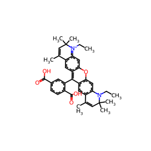 CCN1c2cc3c(cc2C(C)=CC1(C)C)C(c1cc(C(=O)O)ccc1C(=O)O)=c1cc2c(cc1O3)=[N+](CC)C(C)(C)C=C2C